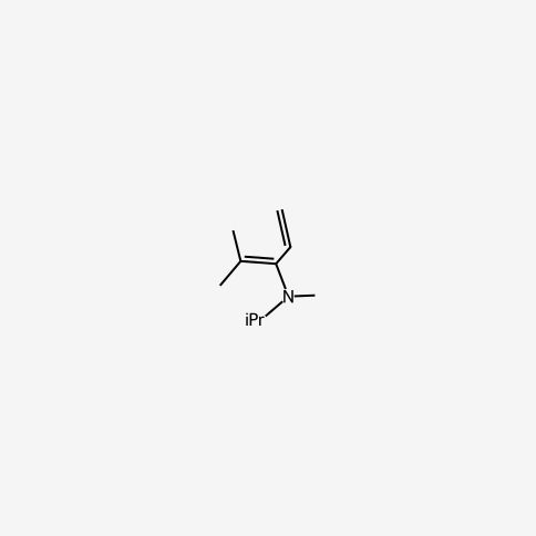 C=CC(=C(C)C)N(C)C(C)C